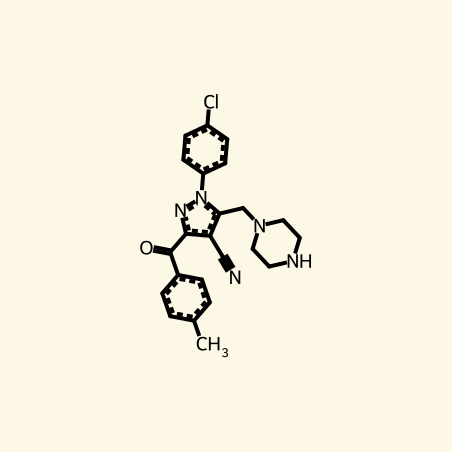 Cc1ccc(C(=O)c2nn(-c3ccc(Cl)cc3)c(CN3CCNCC3)c2C#N)cc1